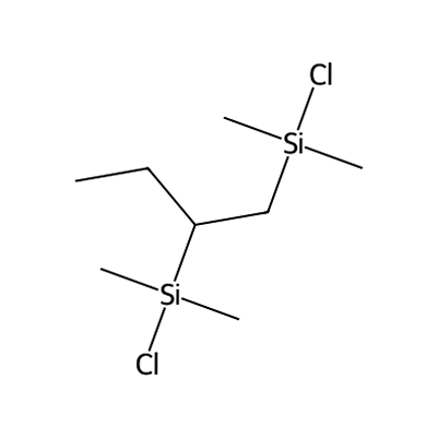 CCC(C[Si](C)(C)Cl)[Si](C)(C)Cl